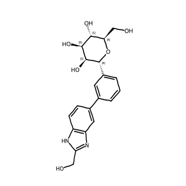 OCc1nc2cc(-c3cccc([C@H]4O[C@H](CO)[C@@H](O)[C@H](O)[C@@H]4O)c3)ccc2[nH]1